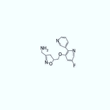 NCC1=NOC(COc2cc(F)cnc2-c2cccnc2)C1